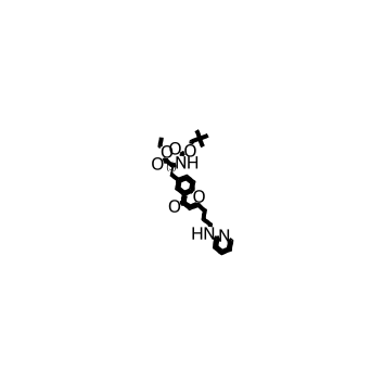 CCOC(=O)[C@H](Cc1ccc2oc(CCCNc3ccccn3)cc(=O)c2c1)NC(=O)OCC(C)(C)C